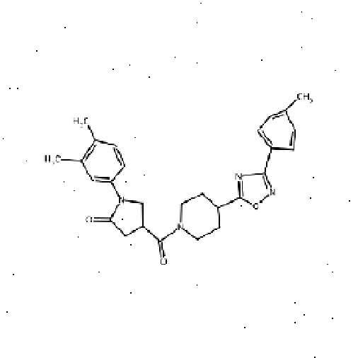 Cc1ccc(-c2noc(C3CCN(C(=O)C4CC(=O)N(c5ccc(C)c(C)c5)C4)CC3)n2)cc1